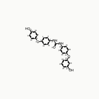 O=C(Nc1ccc(Oc2ccc(O)cc2)cc1)Nc1ccc(Oc2cccc(O)c2)cc1